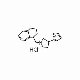 Cl.c1csc(C2CCN(CC3CCCc4ccccc43)C2)c1